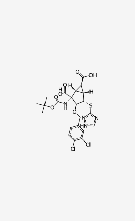 CC(C)(C)OC(=O)N[C@]1(C(=O)O)[C@@H]2[C@@H](C(=O)O)[C@@H]2[C@H](Sc2nc[nH]n2)[C@H]1OCc1ccc(Cl)c(Cl)c1